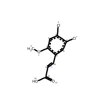 COc1cc(Cl)c(Cl)cc1/C=C/C(=O)O